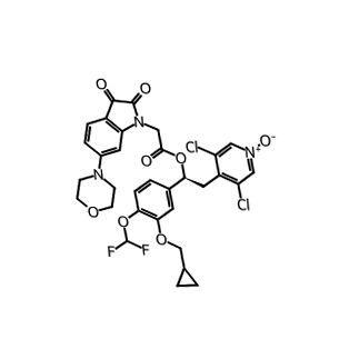 O=C(CN1C(=O)C(=O)c2ccc(N3CCOCC3)cc21)O[C@@H](Cc1c(Cl)c[n+]([O-])cc1Cl)c1ccc(OC(F)F)c(OCC2CC2)c1